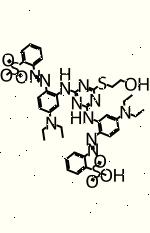 CCN(CC)c1ccc(/N=N/c2ccccc2S(=O)(=O)O)c(Nc2nc(Nc3cc(N(CC)CC)ccc3/N=N/c3ccccc3S(=O)(=O)O)nc(SCCO)n2)c1